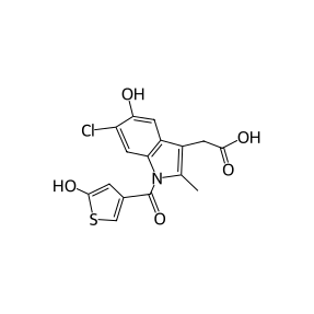 Cc1c(CC(=O)O)c2cc(O)c(Cl)cc2n1C(=O)c1csc(O)c1